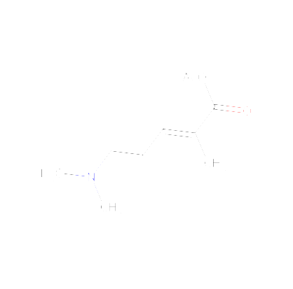 CC(=O)OC(=O)C(C)=CCCN(C)C